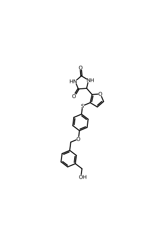 O=C1NC(=O)C(c2occc2Sc2ccc(OCc3cccc(CO)c3)cc2)N1